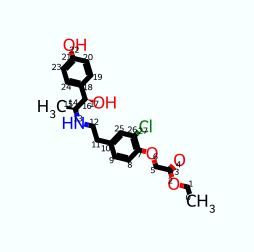 CCOC(=O)COc1ccc(CCN[C@@H](C)[C@@H](O)c2ccc(O)cc2)cc1Cl